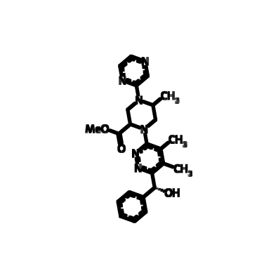 COC(=O)C1CN(c2cnccn2)C(C)CN1c1nnc([C@H](O)c2ccccc2)c(C)c1C